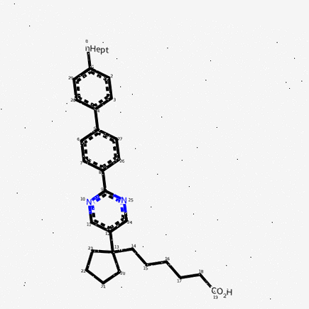 CCCCCCCc1ccc(-c2ccc(-c3ncc(C4(CCCCCC(=O)O)CCCC4)cn3)cc2)cc1